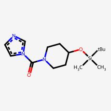 CC(C)(C)[Si](C)(C)OC1CCN(C(=O)n2ccnc2)CC1